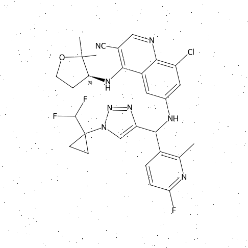 Cc1nc(F)ccc1C(Nc1cc(Cl)c2ncc(C#N)c(N[C@H]3CCOC3(C)C)c2c1)c1cn(C2(C(F)F)CC2)nn1